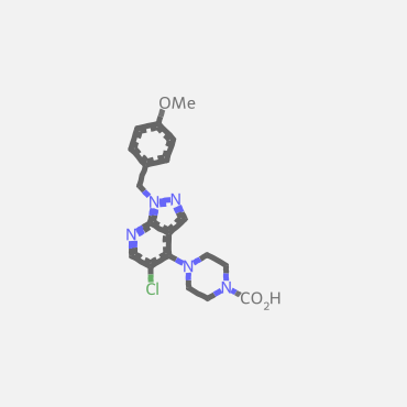 COc1ccc(Cn2ncc3c(N4CCN(C(=O)O)CC4)c(Cl)cnc32)cc1